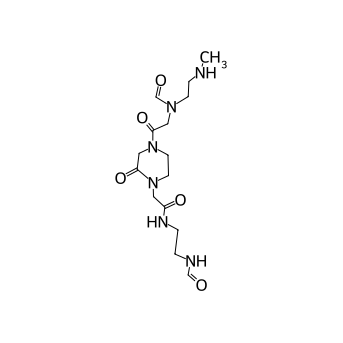 CNCCN(C=O)CC(=O)N1CCN(CC(=O)NCCNC=O)C(=O)C1